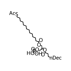 CCCCCCCCCCCCC(=O)O[C@H](COC(=O)CCCCCCCCCCCCCSC(C)=O)COP(=O)(O)O